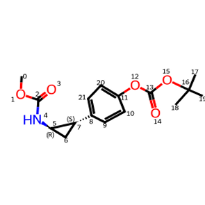 COC(=O)N[C@@H]1C[C@H]1c1ccc(OC(=O)OC(C)(C)C)cc1